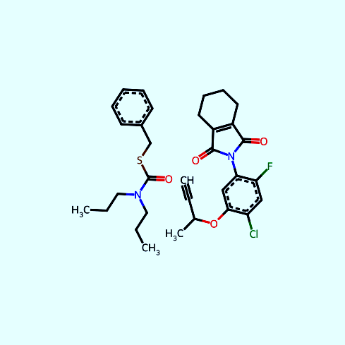 C#CC(C)Oc1cc(N2C(=O)C3=C(CCCC3)C2=O)c(F)cc1Cl.CCCN(CCC)C(=O)SCc1ccccc1